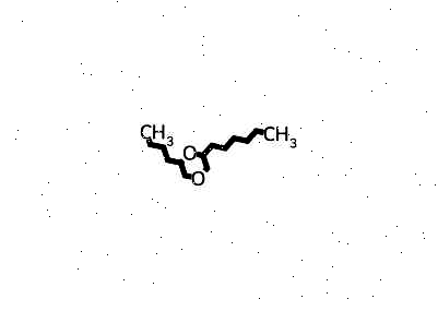 CCCCCCC1COCC(CCCC)O1